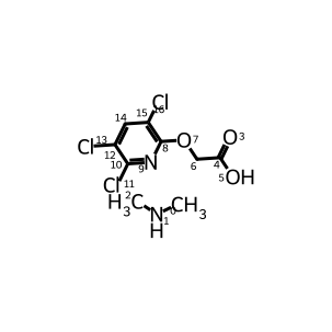 CNC.O=C(O)COc1nc(Cl)c(Cl)cc1Cl